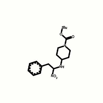 CC(C)(C)OC(=O)N1CCC(NC(Cc2ccccc2)[N+](=O)[O-])CC1